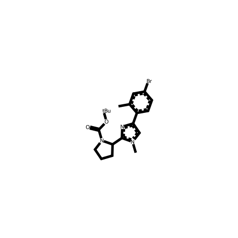 Cc1cc(Br)ccc1-c1cn(C)c(C2CCCN2C(=O)OC(C)(C)C)n1